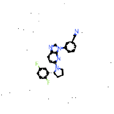 N#Cc1cccc(-n2cnc3ccc(N4CCC[C@@H]4c4cc(F)ccc4F)nc32)c1